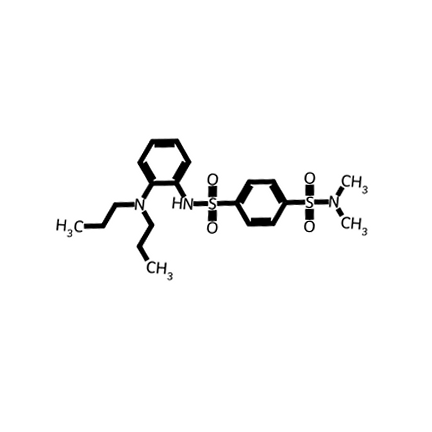 CCCN(CCC)c1ccccc1NS(=O)(=O)c1ccc(S(=O)(=O)N(C)C)cc1